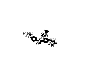 Cc1cc(NC2=CC(=NS(=O)(=O)C3CC3)C(c3cnc(C4CCC(OC(N)=O)CC4)s3)C=C2)n(C)n1